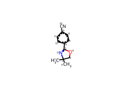 CC1(C)COC(c2ccc(C#N)cc2)=N1